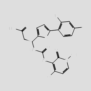 Cn1ccc(O)c(NC(=O)N[C@@H](CC(=O)O)c2ccc(-c3ccc(F)cc3F)s2)c1=O